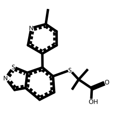 Cc1ccc(-c2c(SC(C)(C)C(=O)O)ccc3cnsc23)cn1